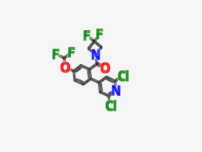 O=C(c1cc(OC(F)F)ccc1-c1cc(Cl)nc(Cl)c1)N1CC(F)(F)C1